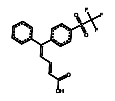 O=C(O)C=CC=C(c1ccccc1)c1ccc(S(=O)(=O)C(F)(F)F)cc1